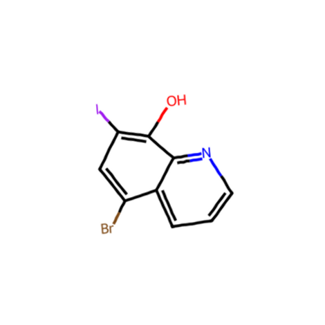 Oc1c(I)cc(Br)c2cccnc12